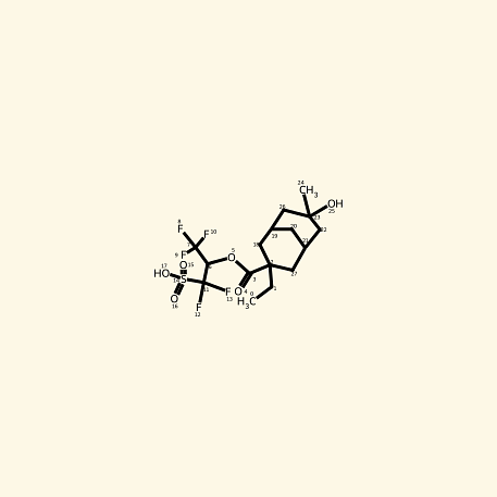 CCC1(C(=O)OC(C(F)(F)F)C(F)(F)S(=O)(=O)O)CC2CC(CC(C)(O)C2)C1